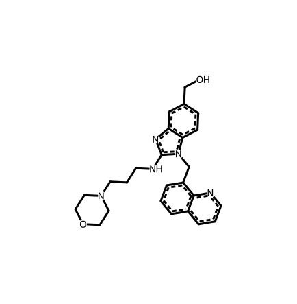 OCc1ccc2c(c1)nc(NCCCN1CCOCC1)n2Cc1cccc2cccnc12